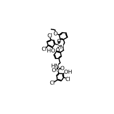 CCOc1cccc(CN(Cc2cccc(CNS(=O)(=O)c3cc(Cl)cc(Cl)c3O)c2)S(=O)(=O)c2cc(Cl)cc(Cl)c2O)c1